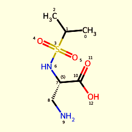 CC(C)S(=O)(=O)N[C@@H](CN)C(=O)O